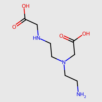 NCCN(CCNCC(=O)O)CC(=O)O